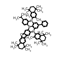 Cc1cc2c(cc1N1c3cc(C(C)C)ccc3B3c4cc5oc6cc7c(cc6c5cc4N(c4cc5c(cc4C)C(C)(C)CCC5(C)C)c4cc(-c5ccccc5)cc1c43)C(C)(C)CCC7(C)C)C(C)(C)CCC2(C)C